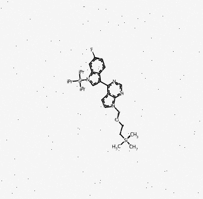 CC(C)[Si](C(C)C)(C(C)C)n1cc(-c2ncnc3c2ccn3COCC[Si](C)(C)C)c2ccc(F)cc21